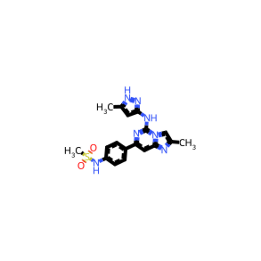 Cc1cn2c(Nc3cc(C)[nH]n3)nc(-c3ccc(NS(C)(=O)=O)cc3)cc2n1